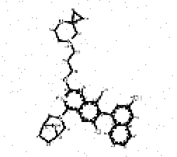 Oc1cc(-c2c(Cl)cc3c(N4CC5CCC(C4)N5)nc(OCCCN4CCOC5(CC5)C4)nc3c2F)c2ccccc2c1